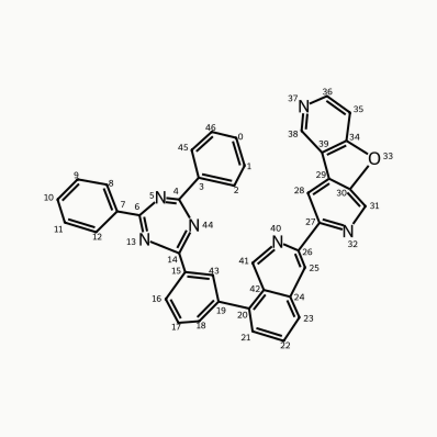 c1ccc(-c2nc(-c3ccccc3)nc(-c3cccc(-c4cccc5cc(-c6cc7c(cn6)oc6ccncc67)ncc45)c3)n2)cc1